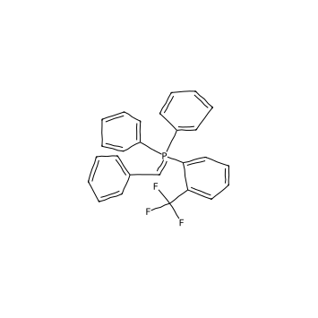 FC(F)(F)c1ccccc1P(=Cc1ccccc1)(c1ccccc1)c1ccccc1